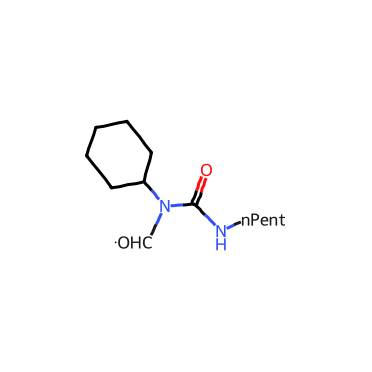 CCCCCNC(=O)N([C]=O)C1CCCCC1